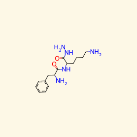 NCCCCC(NC(=O)C(N)Cc1ccccc1)C(=O)NN